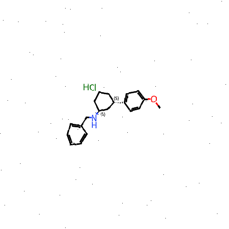 COc1ccc([C@H]2CCC[C@H](NCc3ccccc3)C2)cc1.Cl